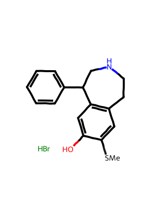 Br.CSc1cc2c(cc1O)C(c1ccccc1)CNCC2